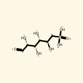 O=C[C@H](O)[C@@H](O)[C@H](O)[C@H](O)CP(=O)(O)O